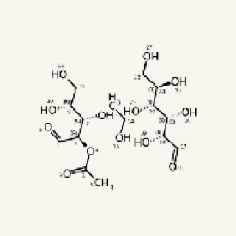 CC(=O)O[C@@H](C=O)[C@@H](O)[C@H](O)CO.CCO.O=C[C@H](O)[C@@H](O)[C@H](O)[C@H](O)CO